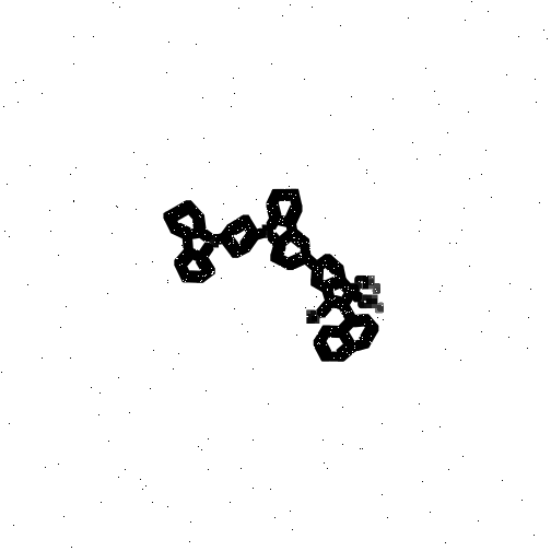 CC1(C)C(c2cccc3ccccc23)=C(Br)c2cc(-c3ccc4c(c3)c3ccccc3n4-c3ccc(-n4c5ccccc5c5ccccc54)cc3)ccc21